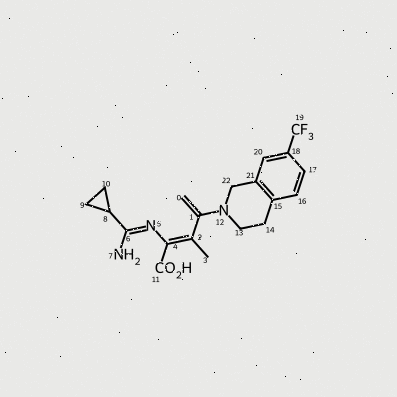 C=C(/C(C)=C(\N=C(/N)C1CC1)C(=O)O)N1CCc2ccc(C(F)(F)F)cc2C1